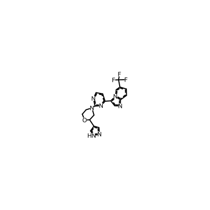 FC(F)(F)c1ccc2ncc(-c3ccnc(N4CCOC(c5cn[nH]c5)C4)n3)n2c1